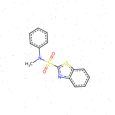 CN(c1ccccc1)S(=O)(=O)c1nc2ccccc2s1